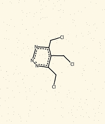 ClCc1nnnc(CCl)c1CCl